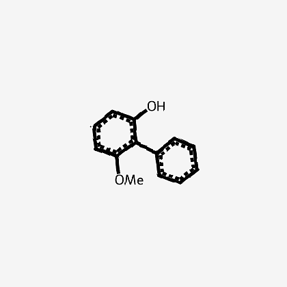 COc1c[c]cc(O)c1-c1ccccc1